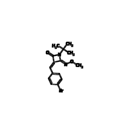 CON=C1C(=Cc2ccc(Br)cc2)C(=O)N1C(C)(C)C